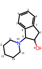 OC1Cc2ccccc2C1N1CCCCC1